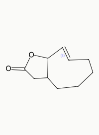 O=C1CC2CCCC/C=C/C2O1